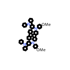 COc1ccc(N(c2ccc3c(c2)C2(c4ccccc4-c4ccccc42)c2cc(N(c4ccc(OC)cc4)c4ccc5c(c4)c4ccccc4n5-c4ccccc4)ccc2-3)c2ccc3c(c2)c2ccccc2n3-c2ccccc2)cc1